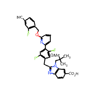 COC(C)(C)Cn1c(Cc2cc(F)c(-c3cccc(OCc4ccc(C#N)cc4F)n3)cc2F)nc2ccc(C(=O)O)cc21